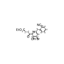 CCOC(=O)CCC(=O)c1nc(Cc2ccccc2C#N)cc(Br)c1O